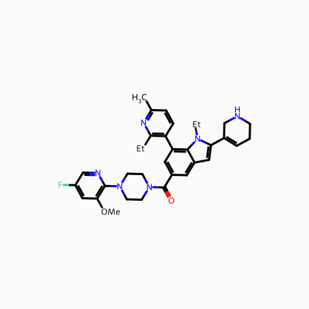 CCc1nc(C)ccc1-c1cc(C(=O)N2CCN(c3ncc(F)cc3OC)CC2)cc2cc(C3=CCCNC3)n(CC)c12